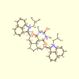 CC(C)Cn1/c(=C/C=C2/CC/C(=C/C=c3\c4cccc5cccc(c54)n3CC(C)C)C2=C2C(=O)N(C)C(=O)N(C)C2=O)c2cccc3cccc1c32